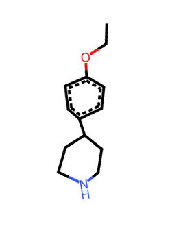 CCOc1ccc(C2CCNCC2)cc1